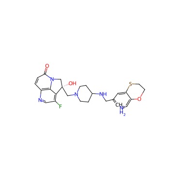 C=C(/C=C1/SCCO/C1=C/N)CNC1CCN(C[C@]2(O)Cn3c(=O)ccc4ncc(F)c2c43)CC1